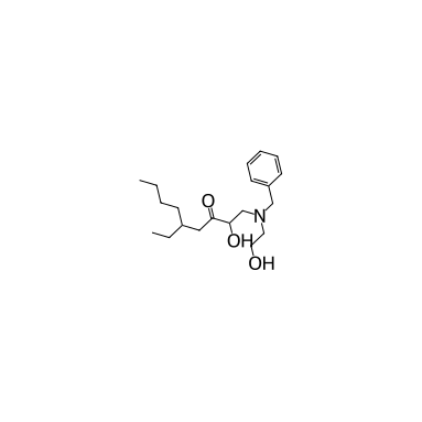 CCCCC(CC)CC(=O)C(O)CN(CCO)Cc1ccccc1